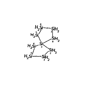 [SiH2]1[SiH2][SiH2][Si]2([SiH2]1)[SiH2][SiH2][SiH2][SiH2]2